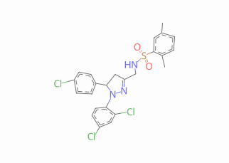 Cc1ccc(C)c(S(=O)(=O)NCC2=NN(c3ccc(Cl)cc3Cl)C(c3ccc(Cl)cc3)C2)c1